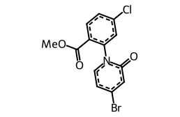 COC(=O)c1ccc(Cl)cc1-n1ccc(Br)cc1=O